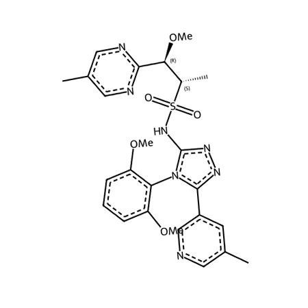 COc1cccc(OC)c1-n1c(NS(=O)(=O)[C@@H](C)[C@H](OC)c2ncc(C)cn2)nnc1-c1cncc(C)c1